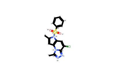 Cc1cc2c(cc(Cl)c3nnc(C)n32)n1S(=O)(=O)c1ccccc1